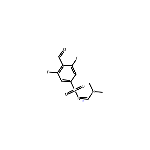 CN(C)/C=N\S(=O)(=O)c1cc(F)c(C=O)c(F)c1